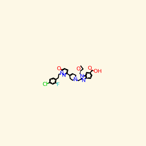 O=C(O)c1ccc2nc(CN3CC=C(c4ccc(=O)n(CCc5ccc(Cl)cc5F)n4)CC3)n(C[C@@H]3CCO3)c2c1